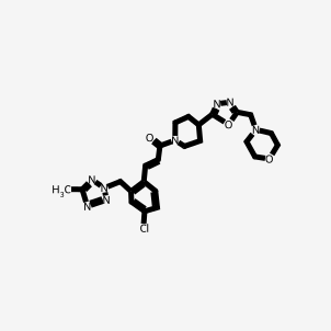 Cc1nnn(Cc2cc(Cl)ccc2C=CC(=O)N2CCC(c3nnc(CN4CCOCC4)o3)CC2)n1